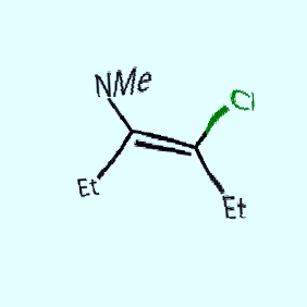 CC/C(Cl)=C(\CC)NC